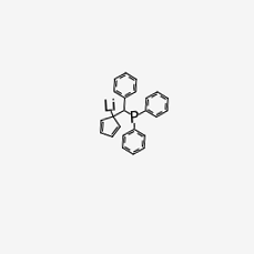 [Li][C]1(C(c2ccccc2)P(c2ccccc2)c2ccccc2)C=CC=C1